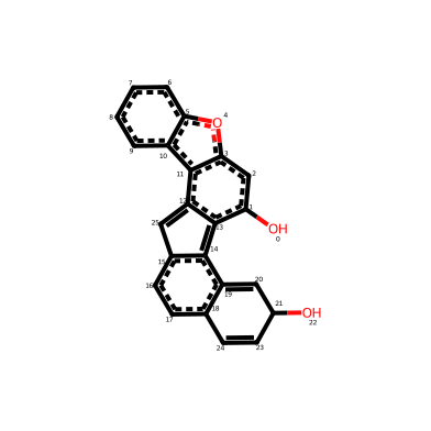 Oc1cc2oc3ccccc3c2c2c1=c1c(ccc3c1=CC(O)C=C3)C=2